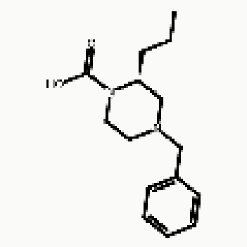 CCC[C@H]1CN(Cc2ccccc2)CCN1C(=O)O